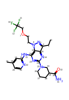 CCc1nn(CCOCC(F)(F)F)c2c(Nc3cc(C)ccn3)nc(N3CCCC(C(N)=O)C3)nc12